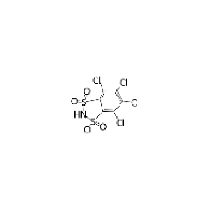 O=S1(=O)NS(=O)(=O)c2c(Cl)c(Cl)c(Cl)c(Cl)c21